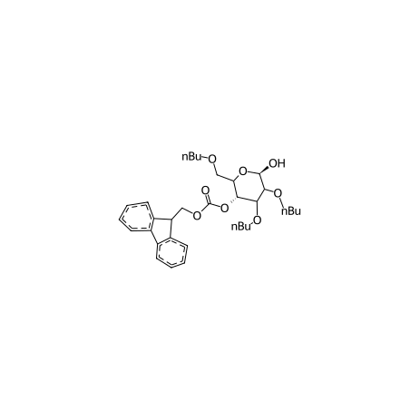 CCCCOCC1O[C@@H](O)C(OCCCC)C(OCCCC)[C@@H]1OC(=O)OCC1c2ccccc2-c2ccccc21